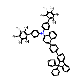 [2H]c1c([2H])c([2H])c(-c2ccc(N(c3ccc(-c4c([2H])c([2H])c([2H])c([2H])c4[2H])cc3)c3ccc(-c4ccc(-c5ccc6c(c5)C(c5ccccc5)(c5ccccc5)c5ccccc5-6)cc4)c4ccccc34)cc2)c([2H])c1[2H]